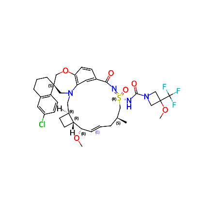 CO[C@H]1/C=C/C[C@H](C)C[S@@](=O)(NC(=O)N2CC(OC)(C(F)(F)F)C2)=NC(=O)c2ccc3c(c2)N(C[C@@H]2CC[C@H]21)C[C@@]1(CCCc2cc(Cl)ccc21)CO3